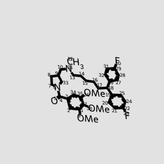 COc1cc(C(=O)N2CCC(CN(C)CCCCCC(c3ccc(F)cc3)c3ccc(F)cc3)C2)cc(OC)c1OC